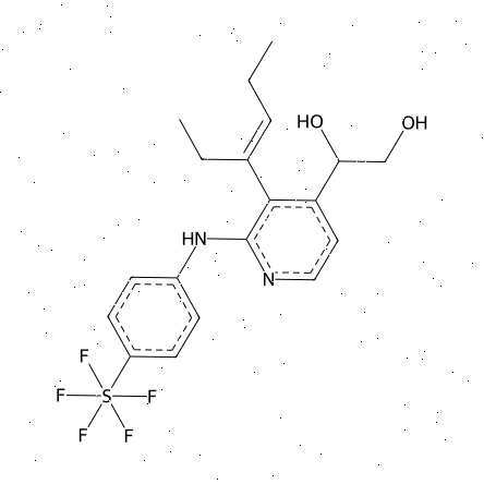 CC/C=C(\CC)c1c(C(O)CO)ccnc1Nc1ccc(S(F)(F)(F)(F)F)cc1